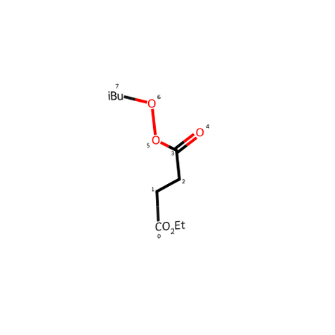 CCOC(=O)CCC(=O)OOC(C)CC